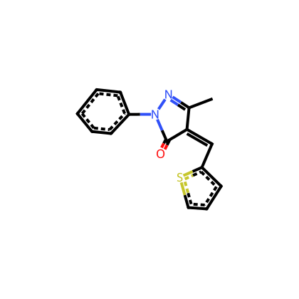 CC1=NN(c2ccccc2)C(=O)C1=Cc1cccs1